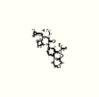 NC[C@H](C(=O)Nc1ccc(N2CCOCC2=O)c(OC(F)F)c1)N(CC1CC1)C1CCC1